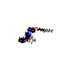 COCCCCOc1ccc2c(c1)CCN2c1ncc(C(=O)NC2(C(=O)O)CC3CCC2C3)c(C(F)(F)F)n1